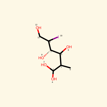 CC(C(O)O)C(O)[C@H](O)C(I)CO